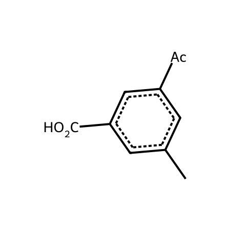 CC(=O)c1cc(C)cc(C(=O)O)c1